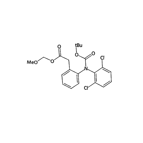 COCOC(=O)Cc1ccccc1N(C(=O)OC(C)(C)C)c1c(Cl)cccc1Cl